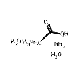 N.N.O.O.O=C(O)O